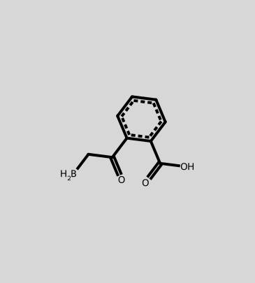 BCC(=O)c1ccccc1C(=O)O